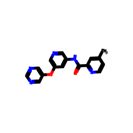 Cc1ccnc(C(=O)Nc2cncc(Oc3cncnc3)c2)c1